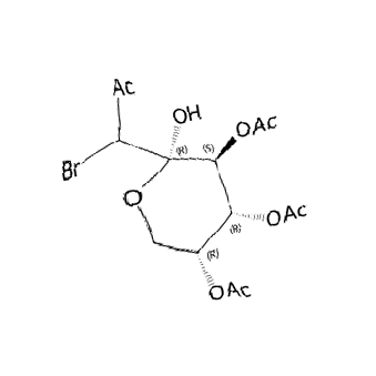 CC(=O)O[C@@H]1[C@H](OC(C)=O)CO[C@@](O)(C(Br)C(C)=O)[C@H]1OC(C)=O